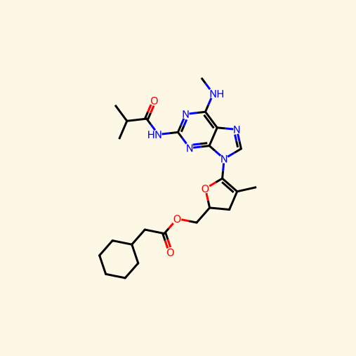 CNc1nc(NC(=O)C(C)C)nc2c1ncn2C1=C(C)CC(COC(=O)CC2CCCCC2)O1